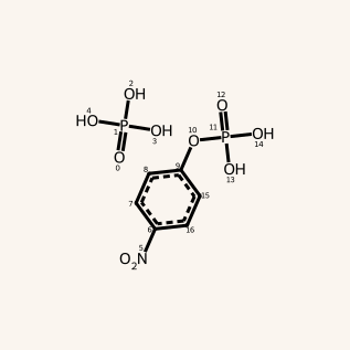 O=P(O)(O)O.O=[N+]([O-])c1ccc(OP(=O)(O)O)cc1